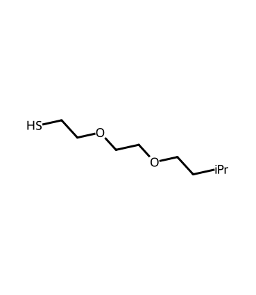 CC(C)CCOCCOCCS